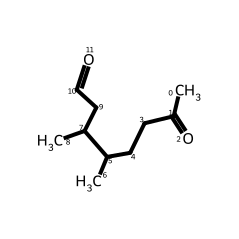 CC(=O)CCC(C)C(C)CC=O